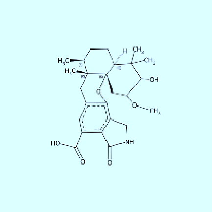 COC1C[C@@]23Oc4c(cc(C(=O)O)c5c4CNC5=O)C[C@]2(C)[C@@H](C)CC[C@H]3C(C)(C)C1O